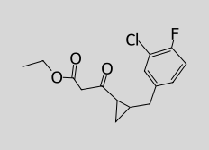 CCOC(=O)CC(=O)C1CC1Cc1ccc(F)c(Cl)c1